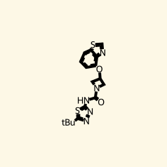 CC(C)(C)c1nnc(NC(=O)N2CC(Oc3cccc4scnc34)C2)s1